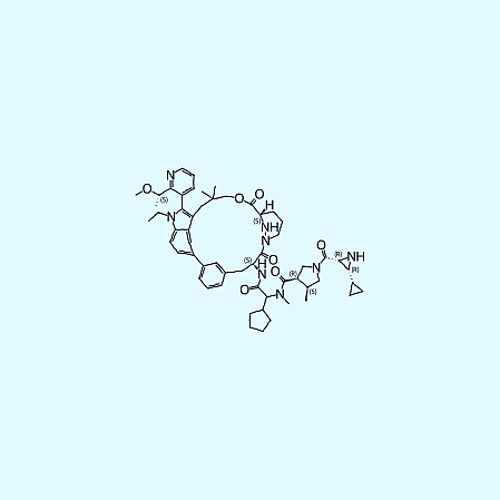 CCn1c(-c2cccnc2[C@H](C)OC)c2c3cc(ccc31)-c1cccc(c1)C[C@H](NC(=O)C(C1CCCC1)N(C)C(=O)[C@H]1CN(C(=O)[C@@H]3N[C@@H]3C3CC3)C[C@H]1C)C(=O)N1CCC[C@H](N1)C(=O)OCC(C)(C)C2